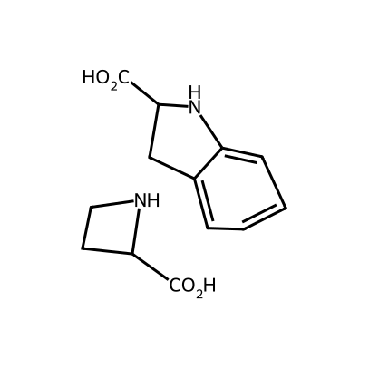 O=C(O)C1CCN1.O=C(O)C1Cc2ccccc2N1